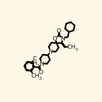 CC=C1N(CC2CCCCC2)C(=O)OC12CCN(C1CCN(C(=O)c3c(C)cccc3C)CC1)CC2